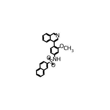 COc1cc(NS(=O)(=O)c2ccc3ccccc3c2)ccc1-c1cncc2ccccc12